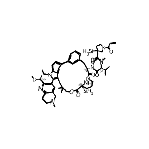 C=CC(=O)N1CCC([SiH3])(C(=O)N(C)[C@H](C(=O)N[C@H]2Cc3cccc(c3)-c3ccc4c(c3)c(c(-c3cc5c(nc3[C@H](C)OC)CCN(C)C5)n4CC)CC(C)(C)COC(=O)[C@@]3([SiH3])CCCN(N3)C2=O)C(C)C)C1